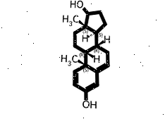 C[C@]12C=CC(O)=CC1=CC[C@@H]1[C@H]2CC[C@]2(C)C(O)CC[C@@H]12